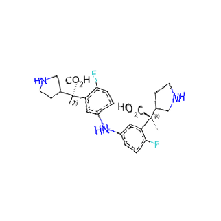 C[C@](C(=O)O)(c1cc(Nc2ccc(F)c([C@](C)(C(=O)O)C3CCNC3)c2)ccc1F)C1CCNC1